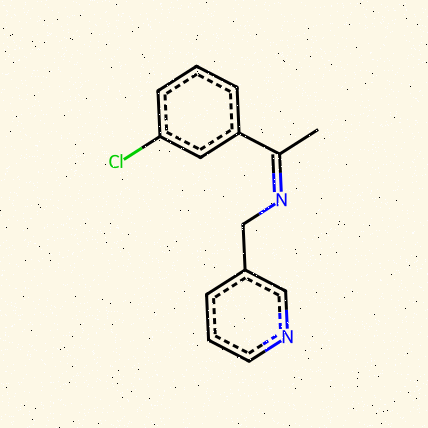 C/C(=N/Cc1cccnc1)c1cccc(Cl)c1